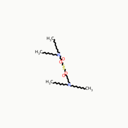 CCCCCCCCCCN(CCCCCCCCCC)CCCCCC(=O)OCCSSCCOC(=O)CCN(CCCCCCCCCC)CCCCCCCCCC